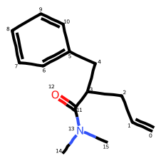 C=CCC(Cc1ccccc1)C(=O)N(C)C